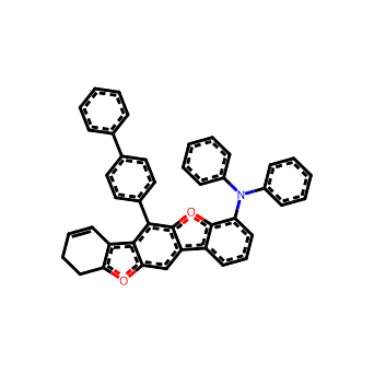 C1=Cc2c(oc3cc4c(oc5c(N(c6ccccc6)c6ccccc6)cccc54)c(-c4ccc(-c5ccccc5)cc4)c23)CC1